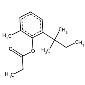 CCC(=O)Oc1c(C)cccc1C(C)(C)CC